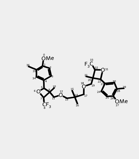 COc1ccc(C2OC(C(F)(F)F)C2(C)COCC(C)(C)COCC2(C)C(c3ccc(OC)c(C)c3)OC2C(F)(F)F)cc1C